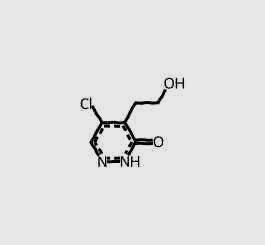 O=c1[nH]ncc(Cl)c1CCO